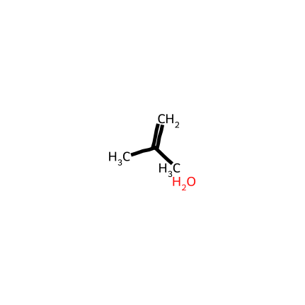 C=C(C)C.O